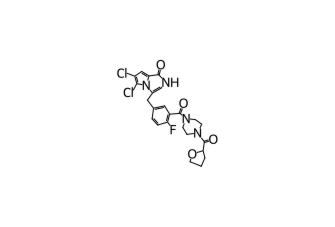 O=C(c1cc(Cc2c[nH]c(=O)c3cc(Cl)c(Cl)n23)ccc1F)N1CCN(C(=O)C2CCCO2)CC1